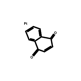 O=C1C=CC(=O)c2ccccc21.[Pt]